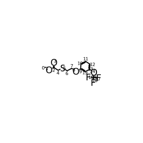 COC(=O)CSCCOc1cccc(OC(F)(F)F)c1